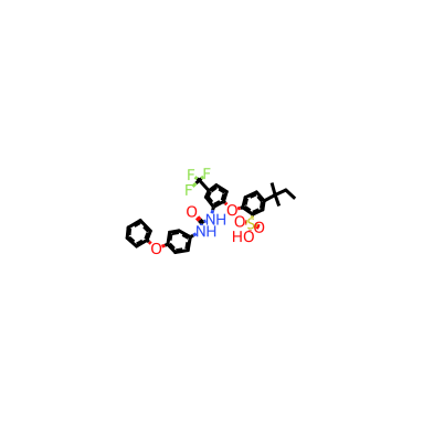 CCC(C)(C)c1ccc(Oc2ccc(C(F)(F)F)cc2NC(=O)Nc2ccc(Oc3ccccc3)cc2)c(S(=O)(=O)O)c1